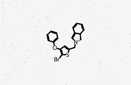 Brc1sc(C[N+]2=CC3C=CC=CC3=C2)cc1Oc1ccccc1